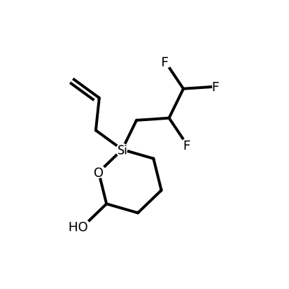 C=CC[Si]1(CC(F)C(F)F)CCCC(O)O1